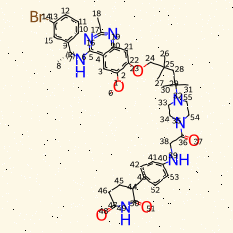 COc1cc2c(N[C@H](C)c3cccc(Br)c3)nc(C)nc2cc1OCC(C)(C)CC(C)(C)N1CCN(C(=O)CNc2ccc(C3CCC(=O)NC3=O)cc2)CC1